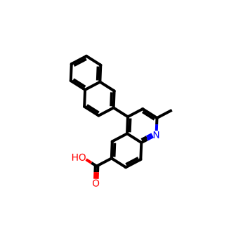 Cc1cc(-c2ccc3ccccc3c2)c2cc(C(=O)O)ccc2n1